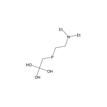 CCN(CC)CC[P]CC(O)(O)O